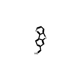 N=Cc1ccc2c(c1)sc1cccnc12